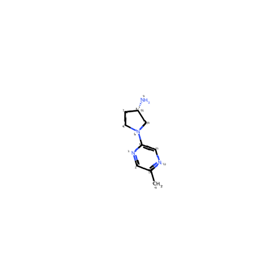 Cc1cnc(N2CC[C@H](N)C2)cn1